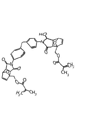 C=C(C)C(=O)OCC12C=CC(O1)C1C(=O)N(c3ccc(Cc4ccc(N5C(=O)C6C(C7C=CC6(COC(=O)C(=C)C)O7)C5O)cc4)cc3)C(=O)C12